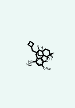 COc1cc(O)c2c3c1O[C@H]1C(F)(F)CC[C@@H]4[C@@H](C2)N(CC2CCC2)CC[C@@]341.Cl